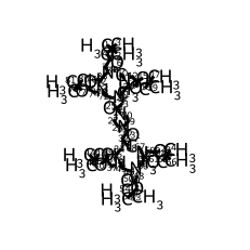 CC(C)(C)OC(=O)CN1CCN(CC(=O)OC(C)(C)C)CCN(CC(=O)N2CCN(C(=O)CN3CCN(CC(=O)OC(C)(C)C)CCN(CC(=O)OC(C)(C)C)CCN(CC(=O)OC(C)(C)C)CC3)CC2)CCN(CC(=O)OC(C)(C)C)CC1